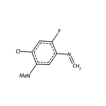 C=Nc1cc(NC)c(Cl)cc1F